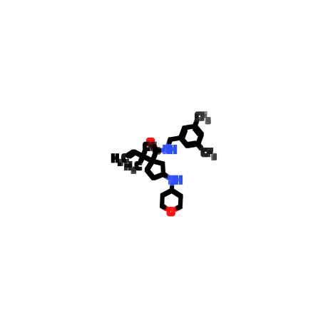 C=CC(C)(C)C1(C(=O)NCc2cc(C(F)(F)F)cc(C(F)(F)F)c2)CCC(NC2CCOCC2)C1